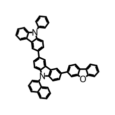 c1ccc(-n2c3ccccc3c3cc(-c4ccc5c(c4)c4cc(-c6ccc7c(c6)oc6ccccc67)ccc4n5-c4cccc5ccccc45)ccc32)cc1